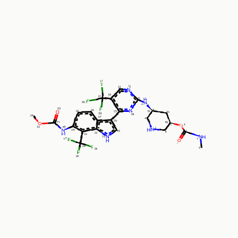 CNC(=O)O[C@H]1CNC[C@@H](Nc2ncc(C(F)(F)F)c(-c3c[nH]c4c(C(F)(F)F)c(NC(=O)OC)ccc34)n2)C1